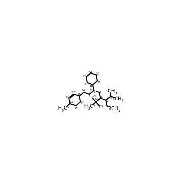 CCC(C(C)C)C(C[C@@H](CCC1C=CC(C)CC1)C1CCCCC1)C(C)(I)I